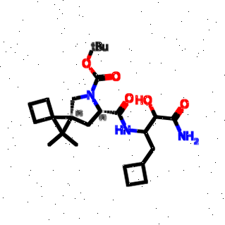 CC(C)(C)OC(=O)N1C[C@]2(C[C@H]1C(=O)NC(CC1CCC1)C(O)C(N)=O)C(C)(C)C21CCC1